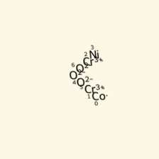 [Co].[Cr+3].[Cr+3].[Ni].[O-2].[O-2].[O-2]